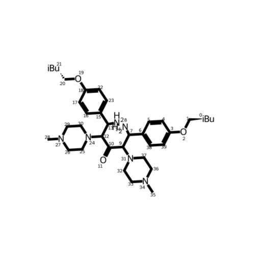 CC[C@H](C)COc1ccc(C(N)C(C(=O)C(C(N)c2ccc(OC[C@@H](C)CC)cc2)N2CCN(C)CC2)N2CCN(C)CC2)cc1